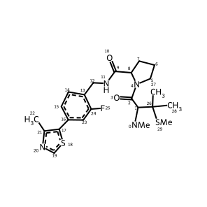 CNC(C(=O)N1CCCC1C(=O)NCc1ccc(-c2scnc2C)cc1F)C(C)(C)SC